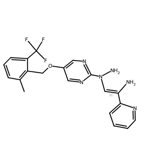 Cc1cccc(C(F)(F)F)c1COc1cnc(N(N)/C=C(\N)c2ccccn2)nc1